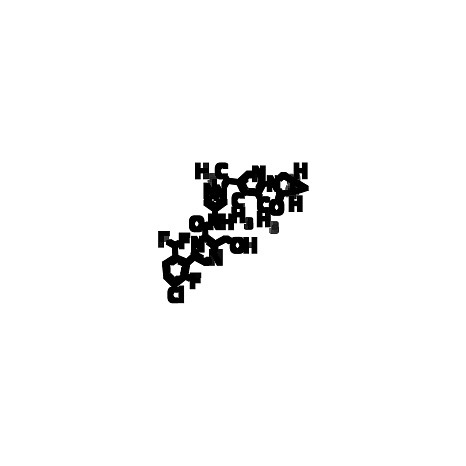 Cc1c(C(C)n2cc(NC(=O)c3nc(-c4c(C(F)F)ccc(Cl)c4F)cnc3CO)cn2)cnc(N2C[C@H]3C[C@H]3C2=O)c1C